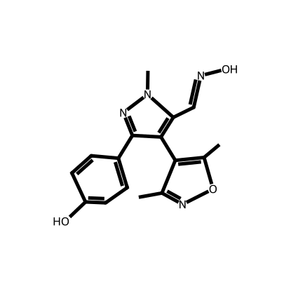 Cc1noc(C)c1-c1c(-c2ccc(O)cc2)nn(C)c1/C=N/O